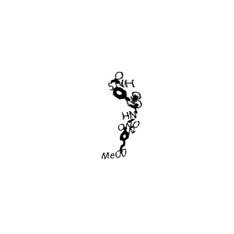 COC(=O)C=Cc1ccc2c(=O)n(CCNC[C@H]3CN(c4ccc5c(c4)NC(=O)CS5)C(=O)O3)c(=O)n(C)c2c1